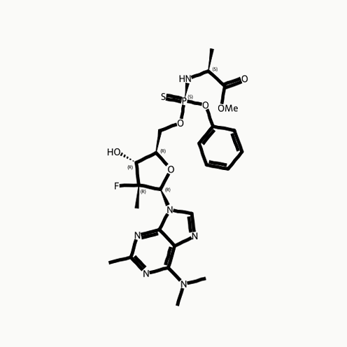 COC(=O)[C@H](C)N[P@](=S)(OC[C@H]1O[C@@H](n2cnc3c(N(C)C)nc(C)nc32)[C@](C)(F)[C@@H]1O)Oc1ccccc1